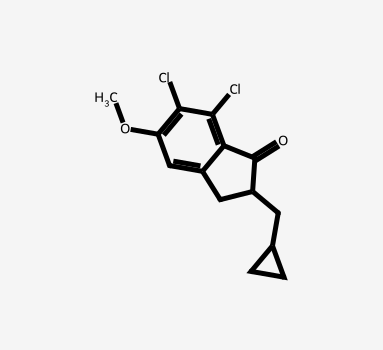 COc1cc2c(c(Cl)c1Cl)C(=O)C(CC1CC1)C2